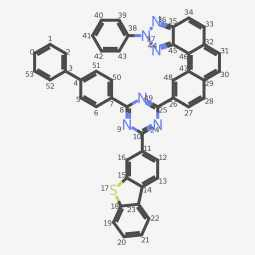 c1ccc(-c2ccc(-c3nc(-c4ccc5c(c4)sc4ccccc45)nc(-c4ccc5ccc6ccc7nn(-c8ccccc8)nc7c6c5c4)n3)cc2)cc1